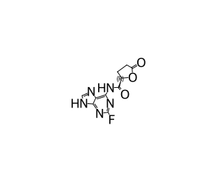 O=C1CC[C@H](C(=O)Nc2nc(F)nc3[nH]cnc23)O1